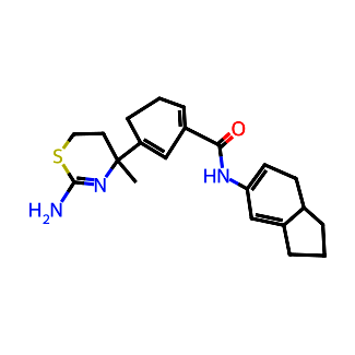 CC1(C2=CC(C(=O)NC3=CCC4CCCC4=C3)=CCC2)CCSC(N)=N1